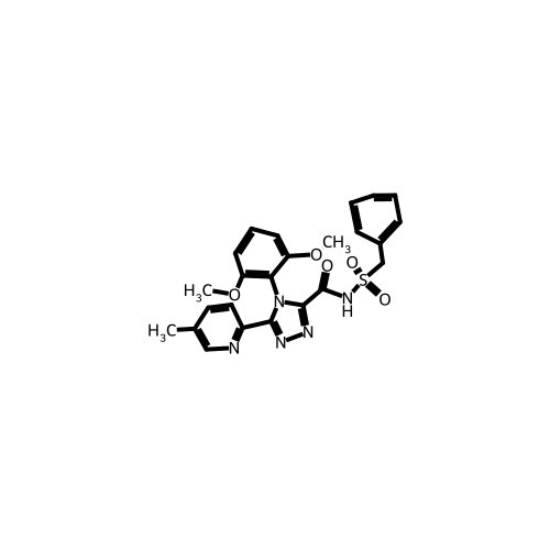 COc1cccc(OC)c1-n1c(C(=O)NS(=O)(=O)Cc2ccccc2)nnc1-c1ccc(C)cn1